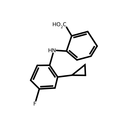 O=C(O)c1ccccc1Nc1ccc(F)cc1C1CC1